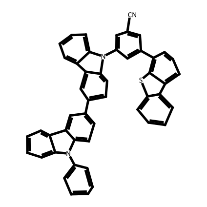 N#Cc1cc(-c2cccc3c2sc2ccccc23)cc(-n2c3ccccc3c3cc(-c4ccc5c(c4)c4ccccc4n5-c4ccccc4)ccc32)c1